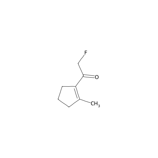 CC1=C(C(=O)CF)CCC1